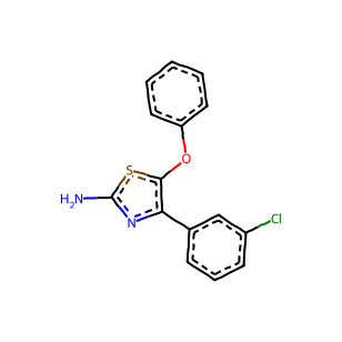 Nc1nc(-c2cccc(Cl)c2)c(Oc2ccccc2)s1